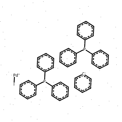 [Pd+][I].[c-]1ccccc1.c1ccc(P(c2ccccc2)c2ccccc2)cc1.c1ccc(P(c2ccccc2)c2ccccc2)cc1